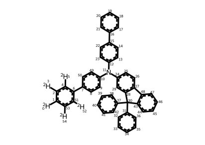 [2H]c1c([2H])c([2H])c(-c2ccc(N(c3ccc(-c4ccccc4)cc3)c3ccc4c(c3)C(c3ccccc3)(c3ccccc3)c3ccccc3-4)cc2)c([2H])c1[2H]